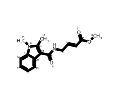 COC(=O)/C=C/CNC(=O)c1c(C)n(C)c2ccccc12